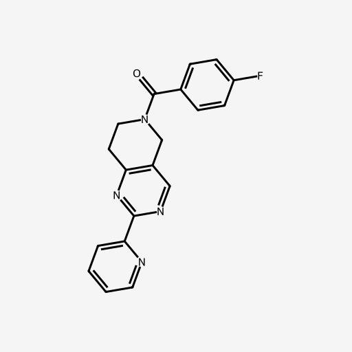 O=C(c1ccc(F)cc1)N1CCc2nc(-c3ccccn3)ncc2C1